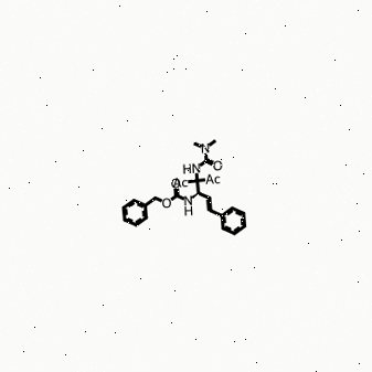 CC(=O)C(NC(=O)N(C)C)(C(C)=O)[C@@H](/C=C/c1ccccc1)NC(=O)OCc1ccccc1